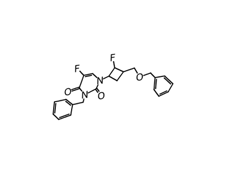 O=c1c(F)cn(C2CC(COCc3ccccc3)C2F)c(=O)n1Cc1ccccc1